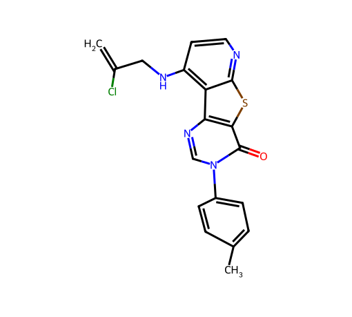 C=C(Cl)CNc1ccnc2sc3c(=O)n(-c4ccc(C)cc4)cnc3c12